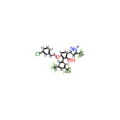 Cn1nc(-c2ccc(OCCc3cccc(Cl)c3)c(-c3cc(C(F)(F)F)cc(C(F)(F)F)c3)c2O)cc1C(F)(F)F